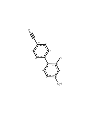 Cc1cc(O)ccc1-c1ccc(C#N)cc1